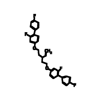 C=CC(CCOc1ccc(-c2ccc(F)cc2)c(F)c1)CCOc1ccc(-c2ccc(F)cc2)c(F)c1